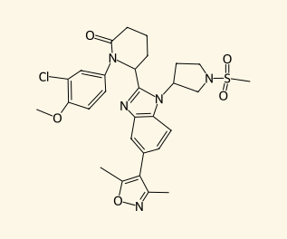 COc1ccc(N2C(=O)CCCC2c2nc3cc(-c4c(C)noc4C)ccc3n2C2CCN(S(C)(=O)=O)C2)cc1Cl